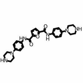 O=C(Nc1ccc(N2CCNCC2)cc1)c1ccc(C(=O)Nc2ccc(N3CCNCC3)cc2)o1